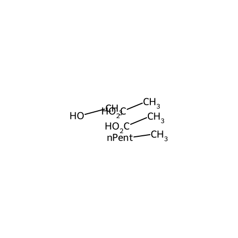 CC(=O)O.CC(=O)O.CCCCCC.CO